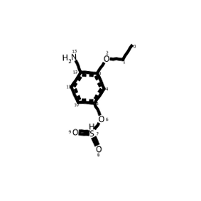 CCOc1cc(O[SH](=O)=O)ccc1N